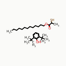 CC(C)(C)c1cccc(C(C)(C)C)c1O.CCCCCCCCCCCCCOC(=O)C(C)S